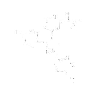 CC(=O)Nc1cc(-c2cn(-c3ccc(=O)[nH]n3)nc2-c2ccc(F)cc2)ccn1